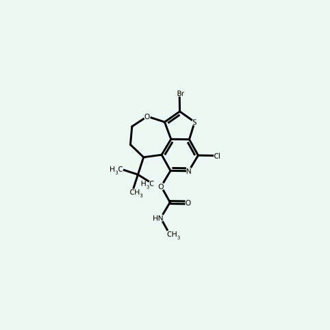 CNC(=O)Oc1nc(Cl)c2sc(Br)c3c2c1C(C(C)(C)C)CCO3